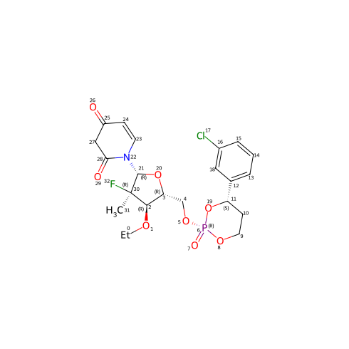 CCO[C@@H]1[C@@H](CO[P@@]2(=O)OCC[C@@H](c3cccc(Cl)c3)O2)O[C@@H](N2C=CC(=O)CC2=O)[C@]1(C)F